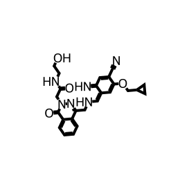 N#CC1=CC(=N)/C(=C\NCc2nn(CC(=O)NCCO)c(=O)c3ccccc23)C=C1OCC1CC1